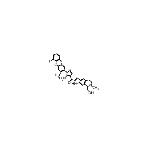 Cc1cc(Oc2c(F)cccc2F)ncc1-n1ncc(C(=O)c2cc3cc4c(cc3[nH]2)C(CO)N(C)CC4)c1N